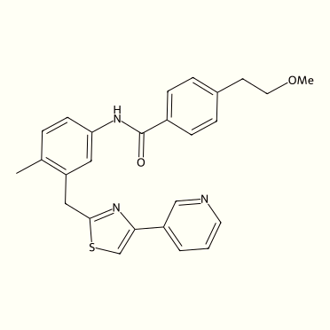 COCCc1ccc(C(=O)Nc2ccc(C)c(Cc3nc(-c4cccnc4)cs3)c2)cc1